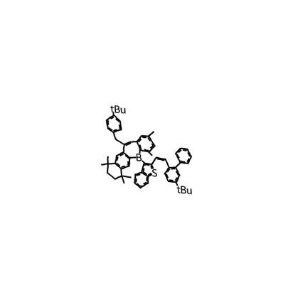 Cc1cc(C)c2c(c1)C=C(Cc1ccc(C(C)(C)C)cc1)c1cc3c(cc1B2c1c(/C=C\c2ccc(C(C)(C)C)cc2-c2ccccc2)sc2ccccc12)C(C)(C)CCC3(C)C